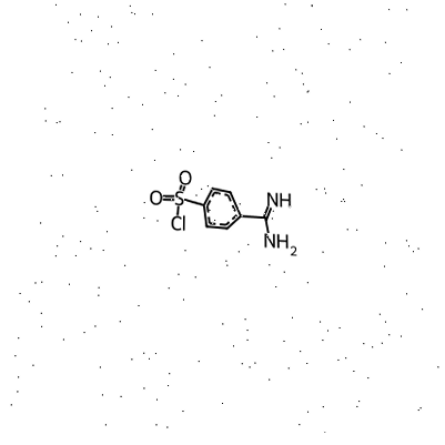 N=C(N)c1ccc(S(=O)(=O)Cl)cc1